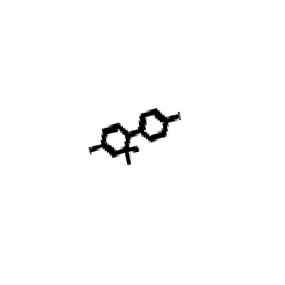 CC1(C)C=C(I)C=CC1c1ccc(I)cc1